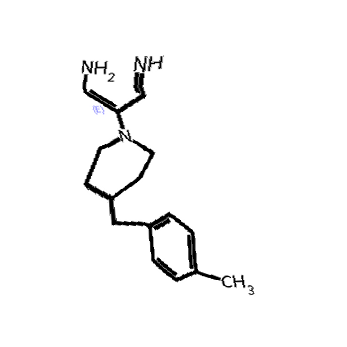 Cc1ccc(CC2CCN(/C(C=N)=C/N)CC2)cc1